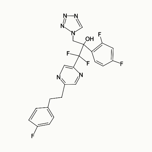 OC(Cn1cnnn1)(c1ccc(F)cc1F)C(F)(F)c1cnc(CCc2ccc(F)cc2)cn1